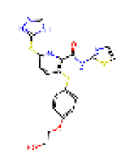 O=C(Nc1nccs1)c1nc(Sc2nnc[nH]2)ccc1Sc1ccc(OCCO)cc1